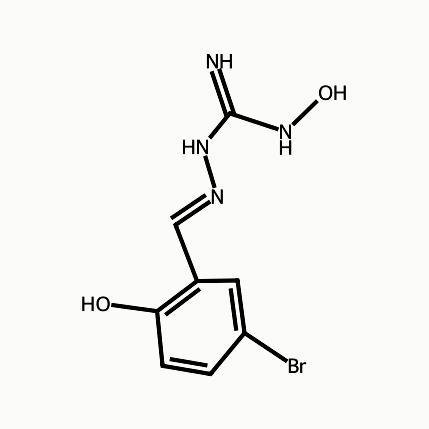 N=C(NO)N/N=C/c1cc(Br)ccc1O